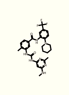 CNc1cc(NC(=O)Nc2cc(C(=O)Nc3cc(C(F)(F)F)ccc3N3CCCCC3)ccc2C)nc(C)n1